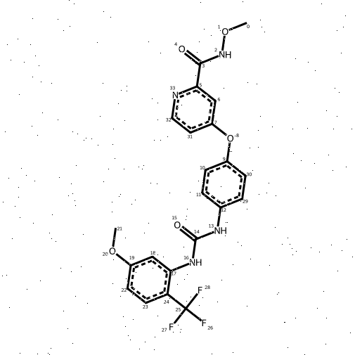 CONC(=O)c1cc(Oc2ccc(NC(=O)Nc3cc(OC)ccc3C(F)(F)F)cc2)ccn1